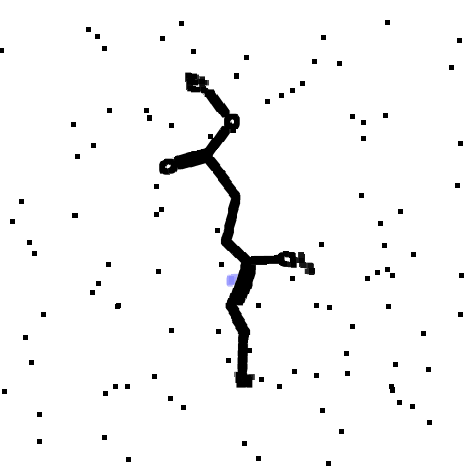 CCOC(=O)CC/C(C)=C/CBr